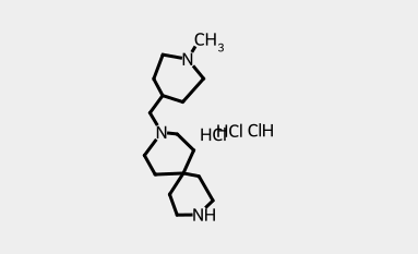 CN1CCC(CN2CCC3(CCNCC3)CC2)CC1.Cl.Cl.Cl